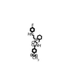 CS(=O)(=O)c1ccc(C(=O)N[C@@H](CC2CCCCC2)C(=O)NCCNc2ccc(F)cc2)cc1